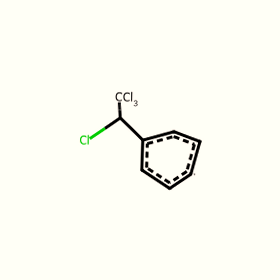 ClC(c1cc[c]cc1)C(Cl)(Cl)Cl